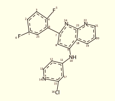 Fc1ccc(F)c(-c2cc(Nc3ccnc(Cl)c3)c3cccnc3n2)c1